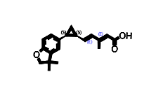 CC(/C=C/[C@@H]1C[C@@H]1c1ccc2c(c1)C(C)(C)CO2)=C\C(=O)O